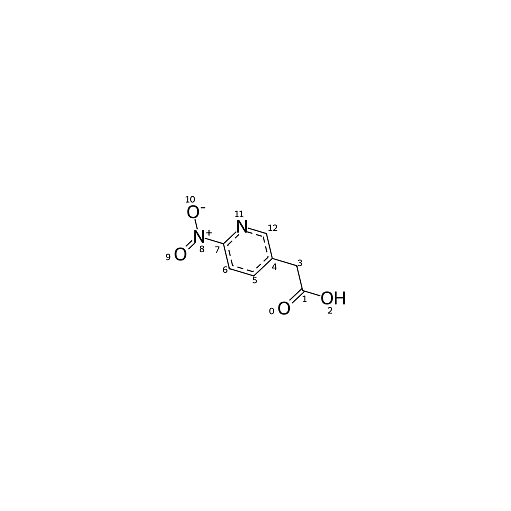 O=C(O)Cc1ccc([N+](=O)[O-])nc1